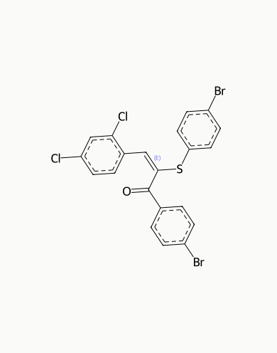 O=C(/C(=C\c1ccc(Cl)cc1Cl)Sc1ccc(Br)cc1)c1ccc(Br)cc1